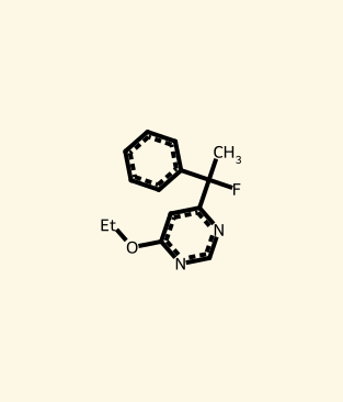 CCOc1cc(C(C)(F)c2ccccc2)ncn1